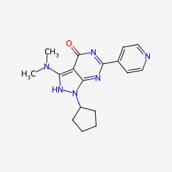 CN(C)c1[nH]n(C2CCCC2)c2nc(-c3ccncc3)nc(=O)c1-2